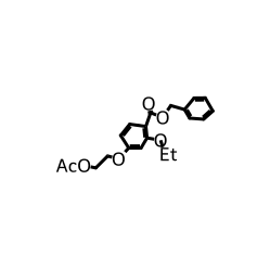 CCOc1cc(OCCOC(C)=O)ccc1C(=O)OCc1ccccc1